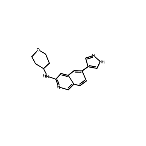 c1cc2cnc(NC3CCOCC3)cc2cc1-c1cn[nH]c1